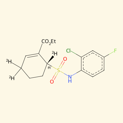 [2H]C1([2H])C=C(C(=O)OCC)[C@]([2H])(S(=O)(=O)Nc2ccc(F)cc2Cl)CC1